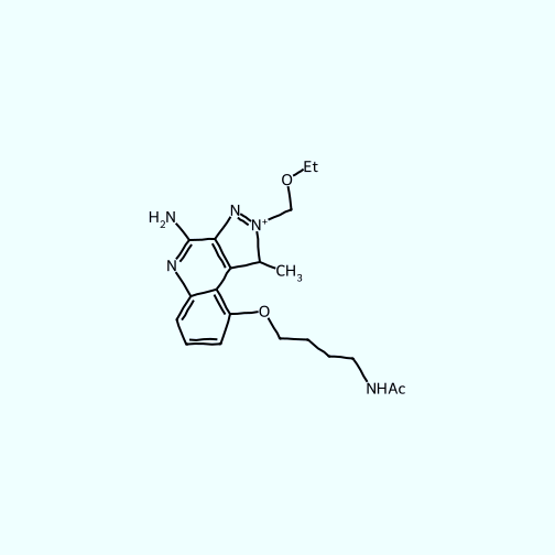 CCOC[N+]1=Nc2c(N)nc3cccc(OCCCCNC(C)=O)c3c2C1C